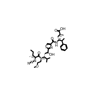 CC[C@@H](C)[C@H](N=[N+]=[N-])C(=O)N(CCOC)[C@H](C[C@@H](O)c1nc(C(=O)N[C@H](C[C@H](C)C(=O)O)C(C)c2ccccc2)cs1)C(C)C